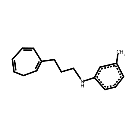 Cc1cccc(NCCCC2=CCC=CC=C2)c1